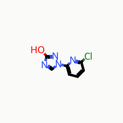 Oc1ncn(-c2cccc(Cl)n2)n1